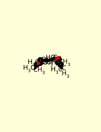 CC(C)C1=CC2=CCC3C(C)(OC(=O)CCC(O)CC(=O)OC4(C)CCCC5(C)C6CCC(C(C)C)=CC6=CCC45)CCCC3(C)C2CC1